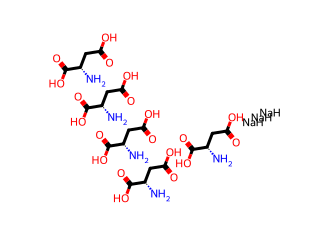 N[C@@H](CC(=O)O)C(=O)O.N[C@@H](CC(=O)O)C(=O)O.N[C@@H](CC(=O)O)C(=O)O.N[C@@H](CC(=O)O)C(=O)O.N[C@@H](CC(=O)O)C(=O)O.[NaH].[NaH].[NaH]